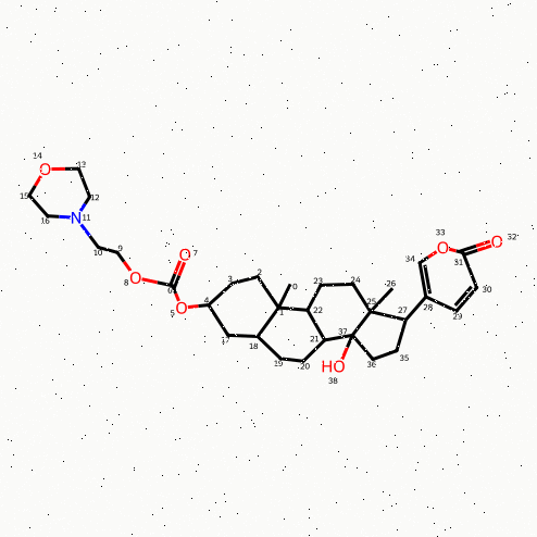 CC12CCC(OC(=O)OCCN3CCOCC3)CC1CCC1C2CCC2(C)C(c3ccc(=O)oc3)CCC12O